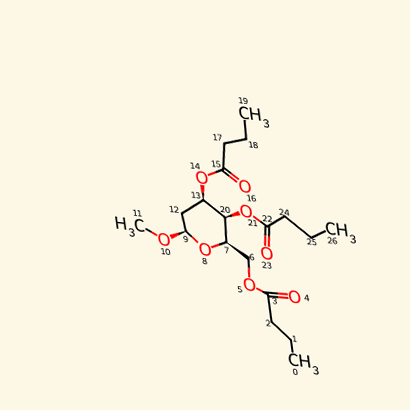 CCCC(=O)OC[C@H]1O[C@@H](OC)C[C@@H](OC(=O)CCC)[C@H]1OC(=O)CCC